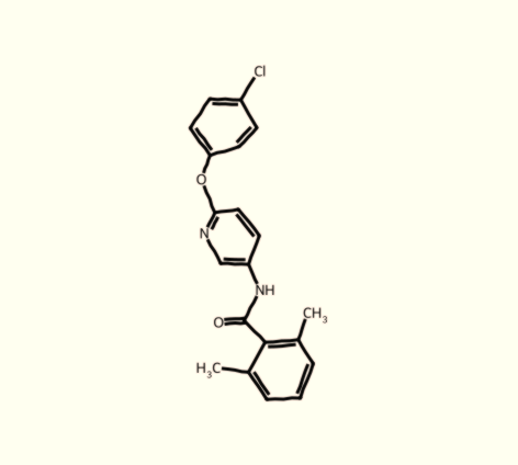 Cc1cccc(C)c1C(=O)Nc1ccc(Oc2ccc(Cl)cc2)nc1